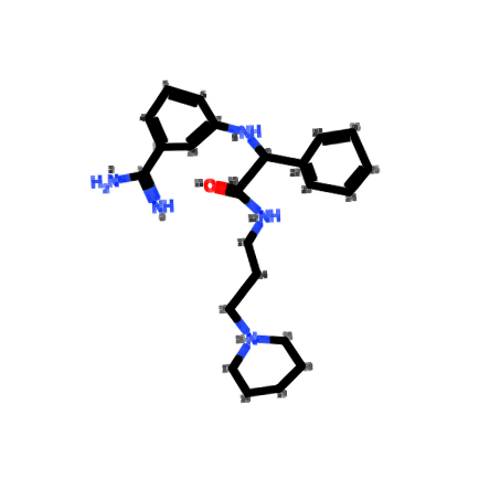 N=C(N)c1cccc(NC(C(=O)NCCCN2CCCCC2)c2ccccc2)c1